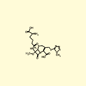 CO[C@@]1(NC(=O)CSCC(N)C(=O)O)C(=O)N2C(C(=O)O)=C(CSc3nnnn3C)CS[C@@H]21